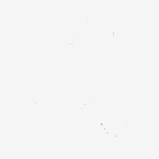 C=C=C=C=CC(CCCCC)CCOC(=O)CCCCCCCCCC1(CCCCCCCCCC(=O)OCCC(C)CCCCC)OCC(CCN2CCCCC2)O1